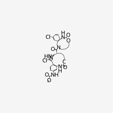 COC(=O)Nc1ccc2c(c1)NC(=O)CCCC[C@H](C(=O)N1CCCCOC(=O)Nc3ccc(Cl)cc3C1)c1nc-2c(Cl)[nH]1